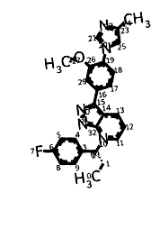 CC[C@H](c1ccc(F)cc1)n1cccc2c(-c3ccc(-n4cnc(C)c4)c(OC)c3)nnc1-2